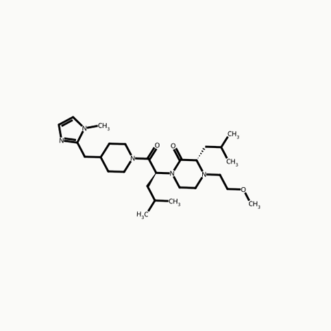 COCCN1CCN([C@@H](CC(C)C)C(=O)N2CCC(Cc3nccn3C)CC2)C(=O)[C@@H]1CC(C)C